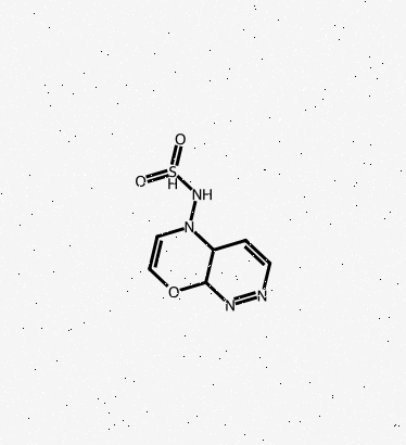 O=[SH](=O)NN1C=COC2N=NC=CC21